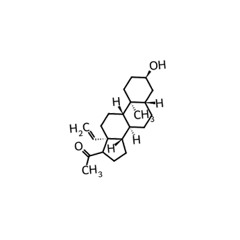 C=C[C@]12CC[C@H]3[C@@H](CC[C@H]4C[C@H](O)CC[C@@]43C)[C@@H]1CCC2C(C)=O